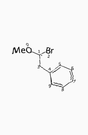 CO[C](Br)Cc1ccccc1